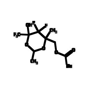 CCC(C)C(=O)OCC1(C)OC(C)OC(O)(C(F)(F)F)C1(F)F